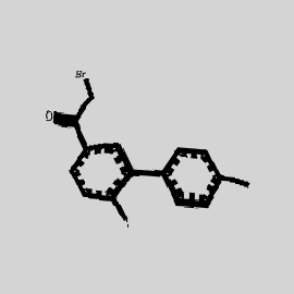 Cc1ccc(-c2cc(C(=O)CBr)ccc2I)cc1